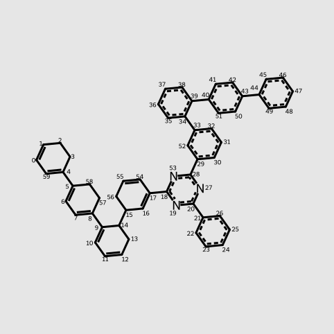 C1=CCCC(C2=CC=C(C3=CC=CCC3C3C=C(c4nc(-c5ccccc5)nc(-c5cccc(-c6ccccc6-c6ccc(-c7ccccc7)cc6)c5)n4)C=CC3)CC2)=C1